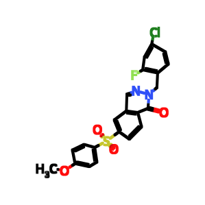 COc1ccc(S(=O)(=O)c2ccc3c(=O)n(Cc4ccc(Cl)cc4F)ncc3c2)cc1